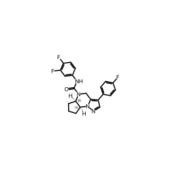 O=C(Nc1ccc(F)c(F)c1)N1Cc2c(-c3ccc(F)cc3)cnn2[C@H]2CCC[C@H]21